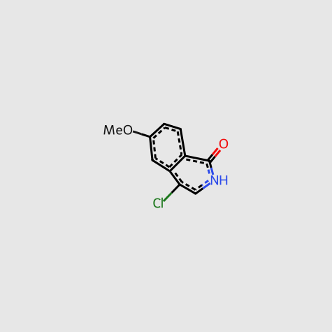 COc1ccc2c(=O)[nH]cc(Cl)c2c1